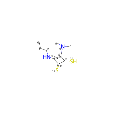 CCCNC1=C(N(C)C)C(S)C1=S